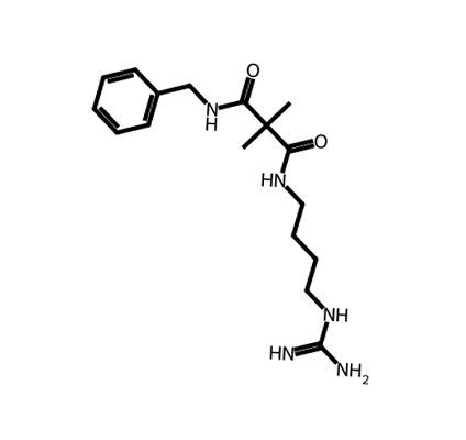 CC(C)(C(=O)NCCCCNC(=N)N)C(=O)NCc1ccccc1